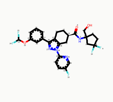 O=C(NC1(CO)CCC(F)(F)C1)[C@@H]1CCc2c(-c3cccc(OC(F)F)c3)nn(-c3ccc(F)cn3)c2C1